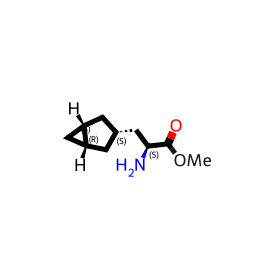 COC(=O)[C@@H](N)C[C@@H]1C[C@@H]2C[C@@H]2C1